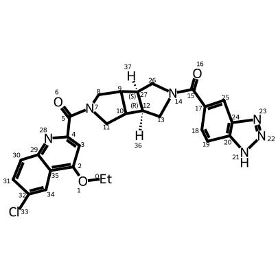 CCOc1cc(C(=O)N2CC3C(C2)[C@@H]2CN(C(=O)c4ccc5[nH]nnc5c4)C[C@H]32)nc2ccc(Cl)cc12